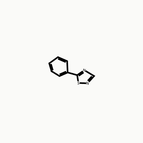 [c]1cccc(-c2ncns2)c1